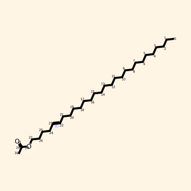 CCCCCCCCCCCCCCCCCCCCCC/C=C/CCCCOC(C)=O